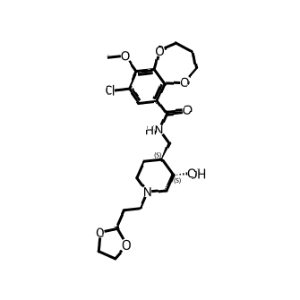 COc1c(Cl)cc(C(=O)NC[C@@H]2CCN(CCC3OCCO3)C[C@H]2O)c2c1OCCCO2